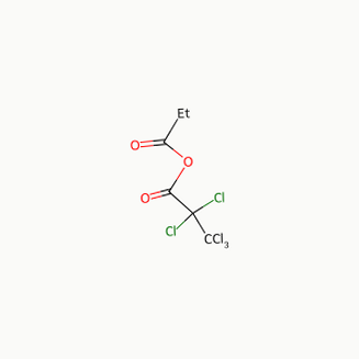 CCC(=O)OC(=O)C(Cl)(Cl)C(Cl)(Cl)Cl